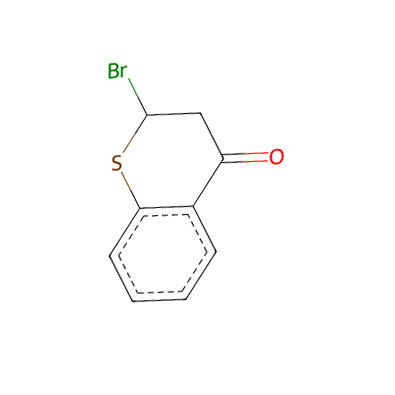 O=C1CC(Br)Sc2ccccc21